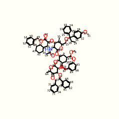 CCC1CC(C(=O)OC)C[C@@H](O[C@@H]2OC(COC(CC)(c3ccccc3)c3ccc(OC)cc3)[C@H](C)C(O[C@@H](CC3CCCCC3)C(=O)OCc3ccccc3)C2NC(C)=O)C1O[C@@H]1OC(C)[C@@H](OCc2ccccc2)C(OCc2ccccc2)C1OCc1ccccc1